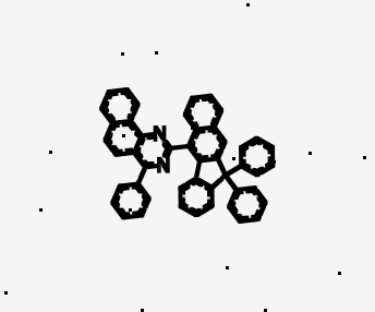 c1ccc(-c2nc(-c3c4c(cc5ccccc35)C(c3ccccc3)(c3ccccc3)c3ccccc3-4)nc3c2ccc2ccccc23)cc1